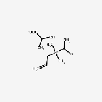 C=CC[N+](C)(C)C(N)CC.CC(O)C(=O)[O-]